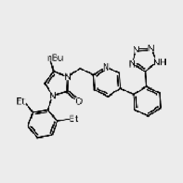 CCCCc1cn(-c2c(CC)cccc2CC)c(=O)n1Cc1ccc(-c2ccccc2-c2nnn[nH]2)cn1